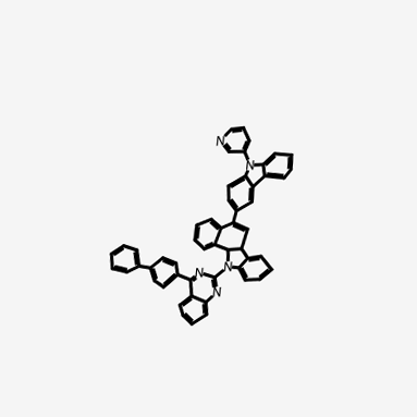 C1=C(c2ccc3c(c2)c2ccccc2n3-c2cccnc2)c2ccccc2C2C1c1ccccc1N2c1nc(-c2ccc(-c3ccccc3)cc2)c2ccccc2n1